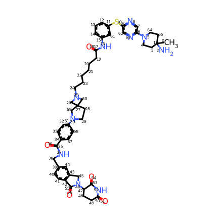 CC1(N)CCN(c2cnc(Sc3cccc(NC(=O)CCCCCCN4CC5(CCN(c6ccc(C(=O)NCc7ccc8c(c7)CN(C7CCC(=O)NC7=O)C8=O)cc6)C5)C4)c3)cn2)CC1